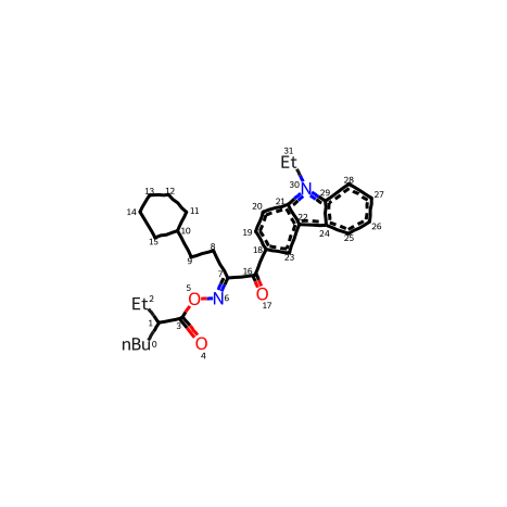 CCCCC(CC)C(=O)O/N=C(\CCC1CCCCC1)C(=O)c1ccc2c(c1)c1ccccc1n2CC